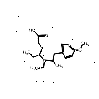 CC[C@@H](CCC(=O)O)N(CC)C(C)Cc1ccc(OC)cc1